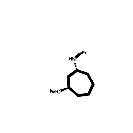 CO[C@@H]1CCCC[C@@H](NC(C)C)C1